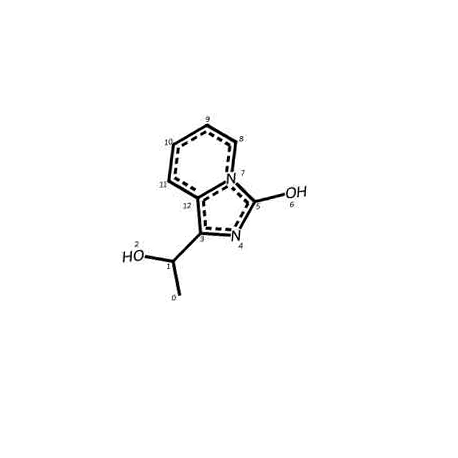 CC(O)c1nc(O)n2ccccc12